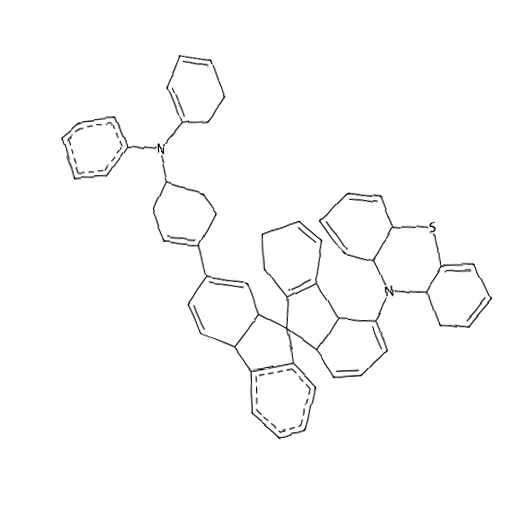 C1=CCCC(N(c2ccccc2)C2CC=C(C3=CC4C(C=C3)c3ccccc3C43C4=C(C=CCC4)C4C(N5C6CC=CC=C6SC6C=CC=CC65)=CC=CC43)CC2)=C1